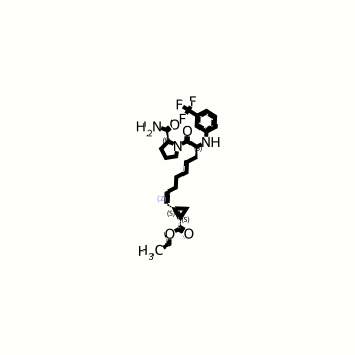 CCOC(=O)[C@H]1C[C@H]1/C=C\CCCCC[C@H](Nc1cccc(C(F)(F)F)c1)C(=O)N1CCC[C@H]1C(N)=O